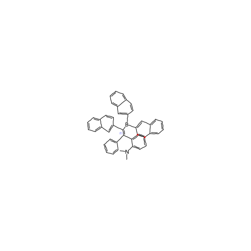 CN(C)c1ccccc1/C(=C(\B(c1ccc2ccccc2c1)c1ccc2ccccc2c1)c1ccc2ccccc2c1)c1ccccc1